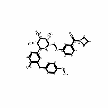 CCOc1ccc(Cc2cc([C@@H]3O[C@H](COc4cccc(C(=O)N5CCC5)c4)[C@@H](O)[C@H](O)[C@H]3O)ccc2Cl)cc1